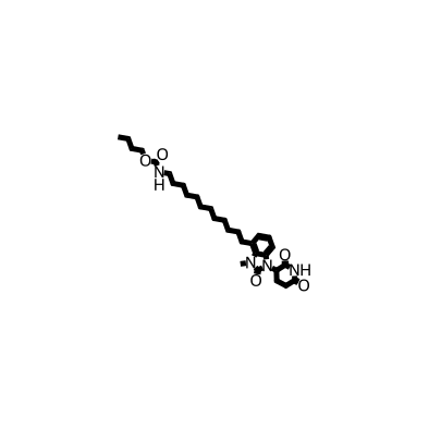 CCCCOC(=O)NCCCCCCCCCCCCc1cccc2c1n(C)c(=O)n2C1CCC(=O)NC1=O